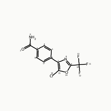 NC(=O)c1ccc(-c2nc(C(F)(F)F)oc2Cl)cc1